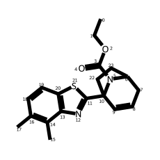 CCOC(=O)N1C2CC=CC1(c1nc3c(C)c(C)ccc3s1)CC2